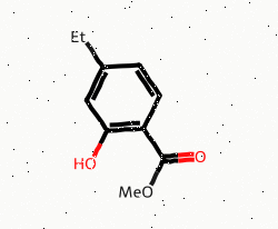 CCc1ccc(C(=O)OC)c(O)c1